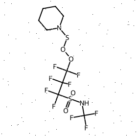 O=S(=O)(NC(F)(F)F)C(F)(F)C(F)(F)C(F)(F)OOSN1CCCCC1